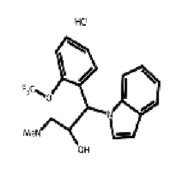 CNCC(O)C(c1ccccc1OC(F)(F)F)n1ccc2ccccc21.Cl